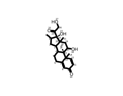 CC1CC2C3CCC4=CC(=O)C=CC4(C)[C@@]3(F)C(O)CC2(C)[C@@]1(O)C(=O)CO